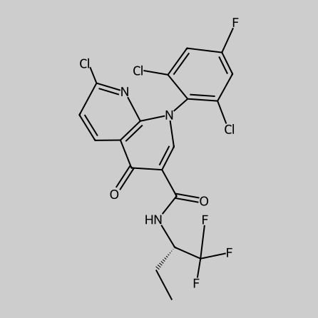 CC[C@H](NC(=O)c1cn(-c2c(Cl)cc(F)cc2Cl)c2nc(Cl)ccc2c1=O)C(F)(F)F